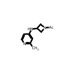 CC(=O)N1CC(Nc2ccnc(C)c2)C1